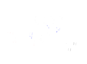 Cc1cc2ccccc2nc1N[C@H](c1ccc(C(=O)NCCC(=O)O)cc1)C1CC(C)(C)C1